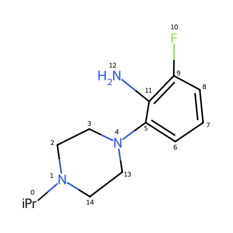 CC(C)N1CCN(c2cccc(F)c2N)CC1